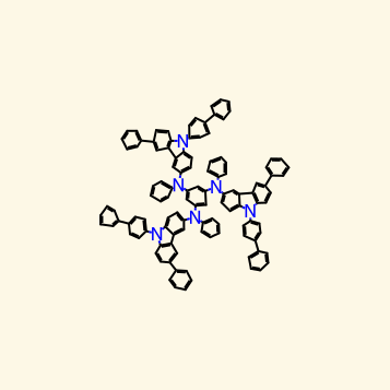 c1ccc(-c2ccc(-n3c4ccc(-c5ccccc5)cc4c4cc(N(c5ccccc5)c5cc(N(c6ccccc6)c6ccc7c(c6)c6cc(-c8ccccc8)ccc6n7-c6ccc(-c7ccccc7)cc6)cc(N(c6ccccc6)c6ccc7c(c6)c6cc(-c8ccccc8)ccc6n7-c6ccc(-c7ccccc7)cc6)c5)ccc43)cc2)cc1